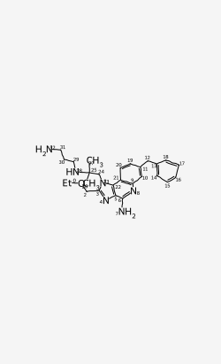 CCOCc1nc2c(N)nc3cc(Cc4ccccc4)ccc3c2n1CC(C)(C)NCCCN